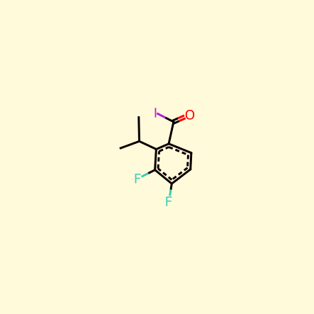 CC(C)c1c(C(=O)I)ccc(F)c1F